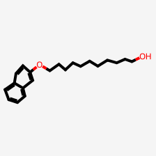 OCCCCCCCCCCCOc1ccc2ccccc2c1